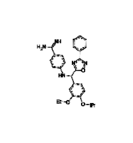 CCOc1cc(C(Nc2ccc(C(=N)N)cc2)c2nc(-c3ccccc3)no2)ccc1OC(C)C